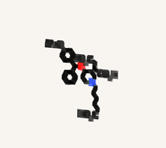 COc1ccc(C(OC2CCN(CCCCCC(=O)O)CC2)c2ccccc2)cc1.O=C(O)/C=C/C(=O)O